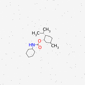 CC(C)[C@@H]1CC[C@@H](C)C[C@@H]1OC(=O)NC1CCCCC1